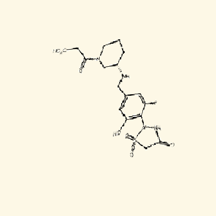 O=C(O)CC(=O)N1CCC[C@H](NCc2cc(O)c(N3NC(=O)CS3(=O)=O)c(F)c2)C1